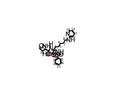 O=C(NC(CCCCCNc1ccccn1)(NS(=O)(=O)c1ccccc1)C(=O)O)C1CCON1